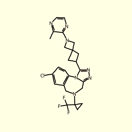 Cc1nccnc1N1CC2(CC(c3nnc4n3-c3ccc(Cl)cc3CN(C3(C(F)(F)F)CC3)C4)C2)C1